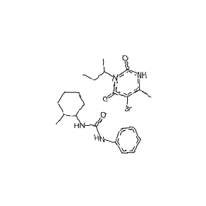 CC1CCCCC1NC(=O)Nc1ccccc1.CCC(C)n1c(=O)[nH]c(C)c(Br)c1=O